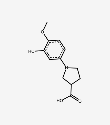 COc1ccc(N2CCC(C(=O)O)C2)cc1O